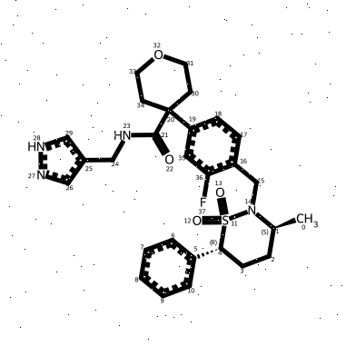 C[C@H]1CC[C@H](c2ccccc2)S(=O)(=O)N1Cc1ccc(C2(C(=O)NCc3cn[nH]c3)CCOCC2)cc1F